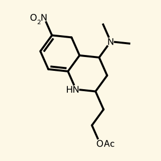 CC(=O)OCCC1CC(N(C)C)C2CC([N+](=O)[O-])=CC=C2N1